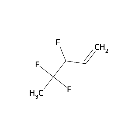 C=CC(F)C(C)(F)F